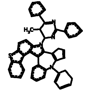 CC1C(c2ccccc2)=NC(c2ccccc2)=NC1n1c2c(c3c4c(ccc31)sc1ccccc14)-c1ccccc1N(C1=CC=CCC1)C1=C2CC=C1